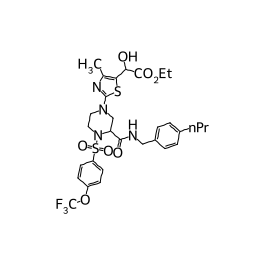 CCCc1ccc(CNC(=O)C2CN(c3nc(C)c(C(O)C(=O)OCC)s3)CCN2S(=O)(=O)c2ccc(OC(F)(F)F)cc2)cc1